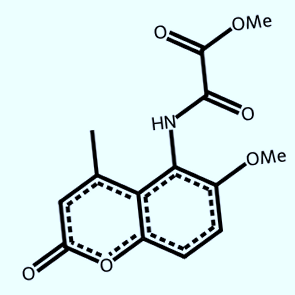 COC(=O)C(=O)Nc1c(OC)ccc2oc(=O)cc(C)c12